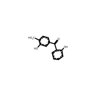 O=C(O)c1ccc(C(=O)c2ccccc2O)cc1O